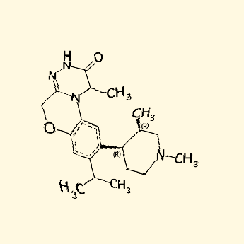 CC(C)c1cc2c(cc1[C@@H]1CCN(C)C[C@@H]1C)N1C(=NNC(=O)C1C)CO2